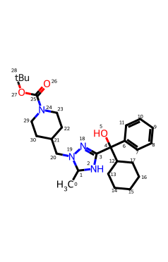 CC1NC(C(O)(c2ccccc2)C2CCCCC2)=NN1CC1CCN(C(=O)OC(C)(C)C)CC1